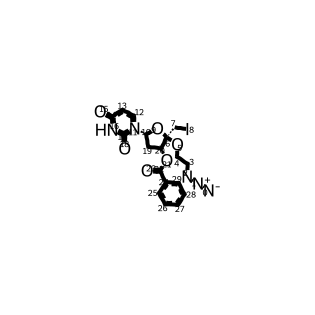 [N-]=[N+]=NCCO[C@]1(CI)O[C@@H](n2ccc(=O)[nH]c2=O)C[C@@H]1OC(=O)c1ccccc1